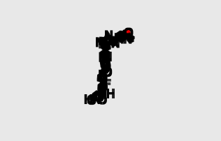 CCC1(C(=O)NC(C)C)CCN(c2ccc(-c3cc(-c4cnc(N5CCN(C(=O)CN6CCC(c7ccc(NC8CCC(=O)NC8=O)cc7F)CC6)CC5)nc4)cn4ncc(C#N)c34)cn2)CC1